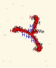 CCc1c2c(cc3ccc(OC(=O)CNC(=O)CCCC(=O)NCCOCC(CCCCCCC(=O)NC)(COCCNC(=O)CCCC(=O)NCC(=O)Oc4ccc5cc6c(c(CC)c5c4)Cn4c-6cc5c(c4=O)COC(=O)[C@]5(O)CC)COCCNC(=O)CCCC(=O)NCC(=O)Oc4ccc5cc6c(c(CC)c5c4)Cn4c-6cc5c(c4=O)COC(=O)[C@]5(O)CC)cc13)-c1cc3c(c(=O)n1C2)COC(=O)[C@]3(O)CC